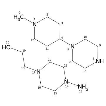 CN1CCC(N2CCNCC2)CC1.NN1CCN(CCO)CC1